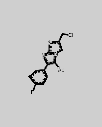 CC(=O)c1c(-c2ccc(F)cc2)nc2sc(CCl)cn12